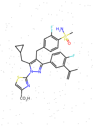 C=C(C)c1cc(-c2nn(-c3nc(C(=O)O)cs3)c(CC3CC3)c2Cc2ccc([SH](C)(N)=O)c(F)c2)ccc1F